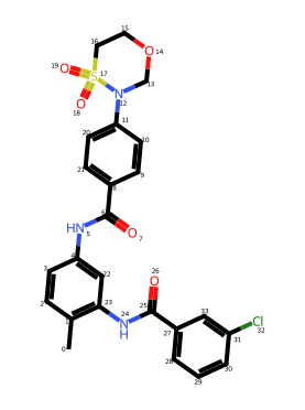 Cc1ccc(NC(=O)c2ccc(N3COCCS3(=O)=O)cc2)cc1NC(=O)c1cccc(Cl)c1